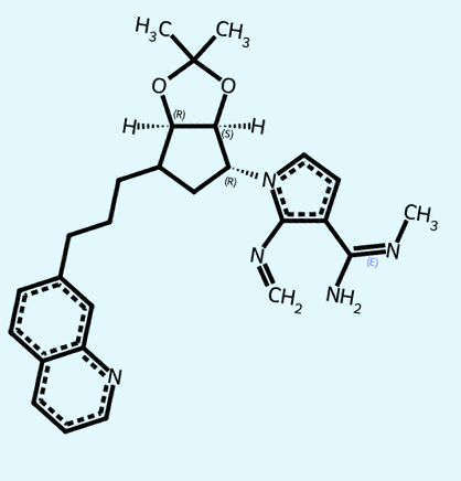 C=Nc1c(/C(N)=N\C)ccn1[C@@H]1CC(CCCc2ccc3cccnc3c2)[C@H]2OC(C)(C)O[C@H]21